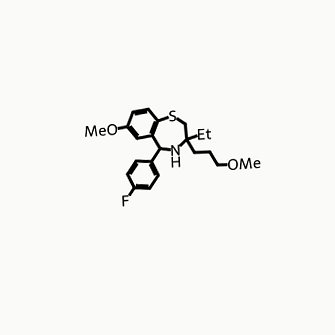 CCC1(CCCOC)CSc2ccc(OC)cc2C(c2ccc(F)cc2)N1